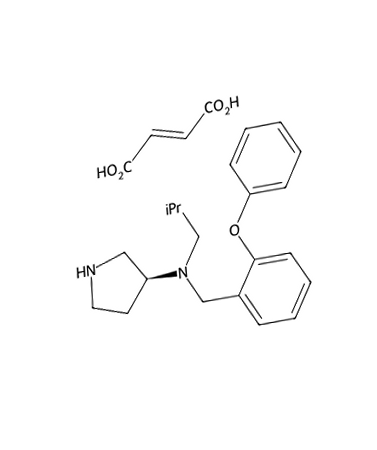 CC(C)CN(Cc1ccccc1Oc1ccccc1)[C@H]1CCNC1.O=C(O)C=CC(=O)O